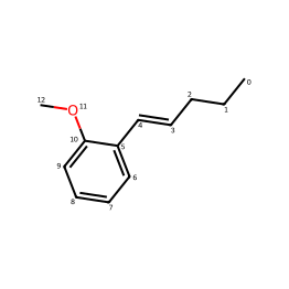 CCC/C=C/c1ccccc1OC